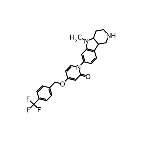 CN1c2cc(-n3ccc(OCc4ccc(C(F)(F)F)cc4)cc3=O)ccc2C2CNCCC21